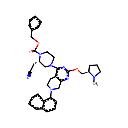 CN1CCC[C@@H]1COc1nc2c(c(N3CCN(C(=O)OCc4ccccc4)[C@@H](CC#N)C3)n1)CCN(c1cccc3ccccc13)C2